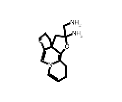 NCC1(N)CC23CCCCC2=CN2C=CCCC2=C3O1